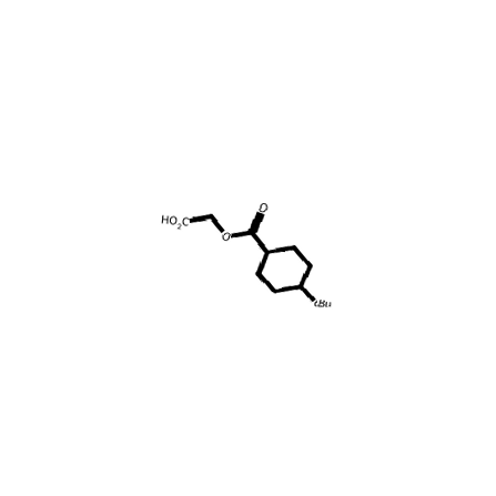 CC(C)(C)C1CCC(C(=O)OCC(=O)O)CC1